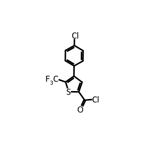 O=C(Cl)c1cc(-c2ccc(Cl)cc2)c(C(F)(F)F)s1